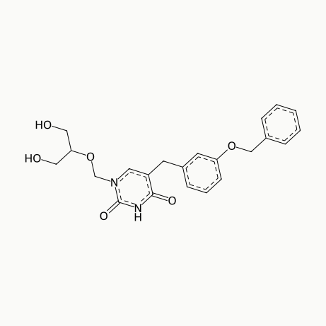 O=c1[nH]c(=O)n(COC(CO)CO)cc1Cc1cccc(OCc2ccccc2)c1